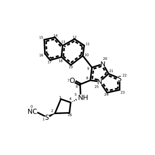 N#CS[C@H]1C[C@H](NC(=O)c2c(-c3ccc4ccccc4c3)nc3sccn23)C1